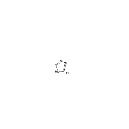 [Cs].c1nnn[nH]1